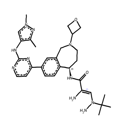 Cc1nn(C)cc1Nc1nccc(-c2ccc3c(c2)CN(C2COC2)CC[C@H]3NC(=O)/C(N)=C/N(N)C(C)(C)C)n1